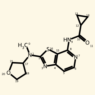 CN(c1nc2ccnc(NC(=O)C3CC3)c2s1)C1CCOC1